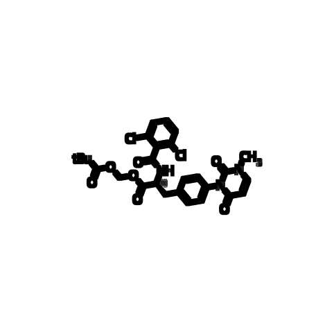 Cn1ccc(=O)n(-c2ccc(C[C@H](NC(=O)c3c(Cl)cccc3Cl)C(=O)OCOC(=O)C(C)(C)C)cc2)c1=O